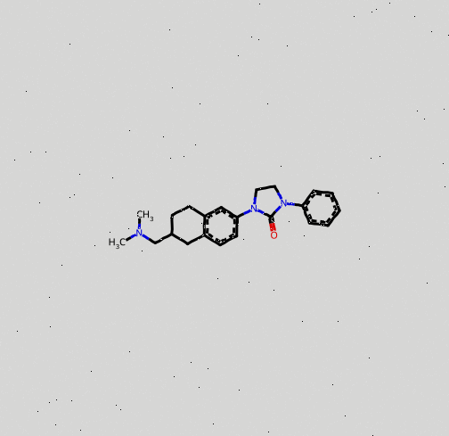 CN(C)CC1CCc2cc(N3CCN(c4ccccc4)C3=O)ccc2C1